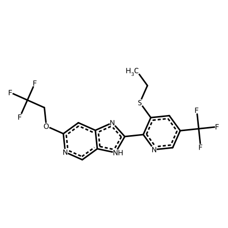 CCSc1cc(C(F)(F)F)cnc1-c1nc2cc(OCC(F)(F)F)ncc2[nH]1